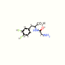 NCC(=O)NC(Cc1ccc(F)c(F)c1)C(=O)O